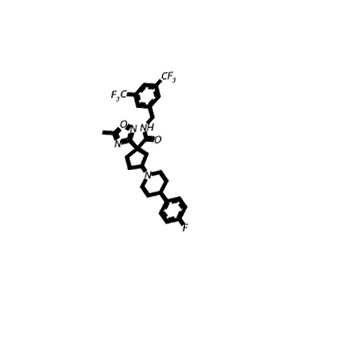 Cc1nc(C2(C(=O)NCc3cc(C(F)(F)F)cc(C(F)(F)F)c3)CCC(N3CCC(c4ccc(F)cc4)CC3)C2)no1